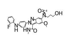 CNC(=O)c1c2cc(OC)c(N(CCCO)[S+](C)[O-])cc2nn1-c1ccc(Nc2ccccc2F)cc1